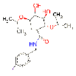 CC(C)O[C@@H]1C(C(=O)NCc2ccc(I)cc2)C[C@@H](OC(C)C)[C@@H](O)[C@H]1O